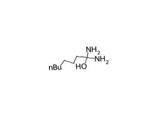 CCCCCCCC(N)(N)O